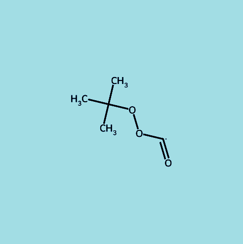 CC(C)(C)OO[C]=O